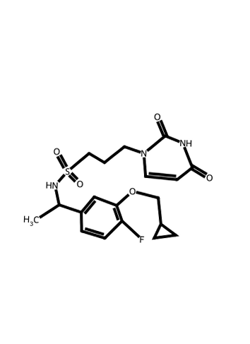 CC(NS(=O)(=O)CCCn1ccc(=O)[nH]c1=O)c1ccc(F)c(OCC2CC2)c1